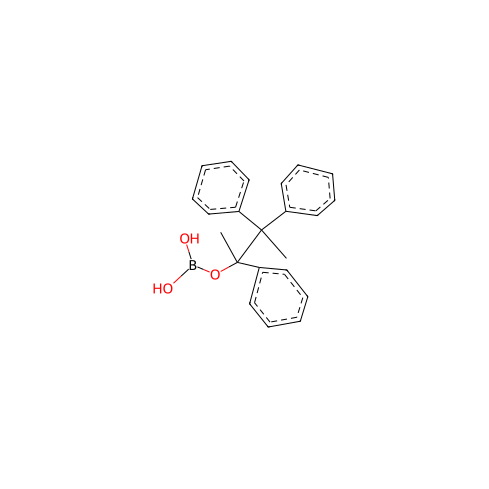 CC(OB(O)O)(c1ccccc1)C(C)(c1ccccc1)c1ccccc1